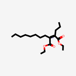 CCCCCCCC/C(C(=O)OCC)=C(\CCC)C(=O)OCC